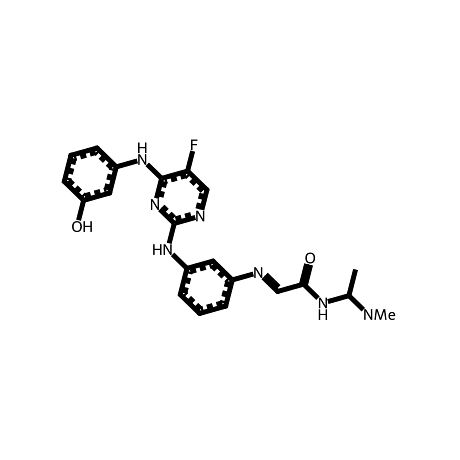 CNC(C)NC(=O)C=Nc1cccc(Nc2ncc(F)c(Nc3cccc(O)c3)n2)c1